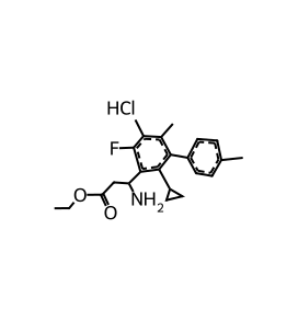 CCOC(=O)CC(N)c1c(F)c(C)c(C)c(-c2ccc(C)cc2)c1C1CC1.Cl